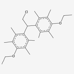 CCOc1c(C)c(C)c(C(CCl)c2c(C)c(C)c(OCC)c(C)c2C)c(C)c1C